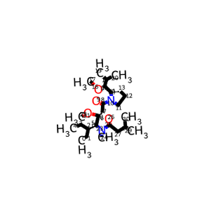 CCC(CC)[C@@H]([C@@H](CC(=O)N1CCC[C@H]1[C@H](OC)C(C)C)OC)N(C)C(=O)CC(C)C